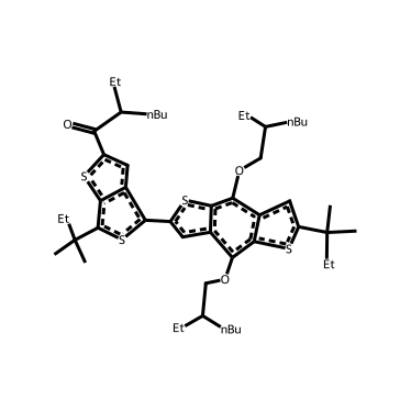 CCCCC(CC)COc1c2cc(C(C)(C)CC)sc2c(OCC(CC)CCCC)c2cc(-c3sc(C(C)(C)CC)c4sc(C(=O)C(CC)CCCC)cc34)sc12